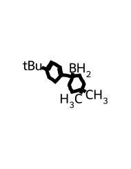 BC1(C2=CC=C(C(C)(C)C)CC2)CCC(C)(C)CC1